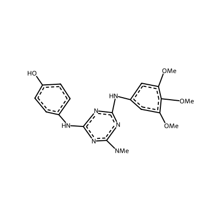 CNc1nc(Nc2ccc(O)cc2)nc(Nc2cc(OC)c(OC)c(OC)c2)n1